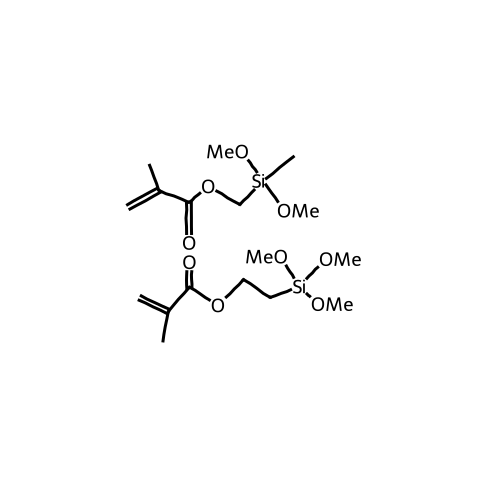 C=C(C)C(=O)OCC[Si](OC)(OC)OC.C=C(C)C(=O)OC[Si](C)(OC)OC